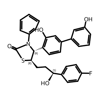 O=C1S[C@H](CC[C@H](O)c2ccc(F)cc2)[C@@H](c2ccc(-c3cccc(O)c3)cc2O)N1c1ccccc1